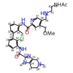 COCc1cc(C(=O)Nc2cccc(-c3cccc(NC(=O)c4nc5c(n4C)CCN(C)C5)c3Cl)c2C)ncc1CNCCNC(C)=O